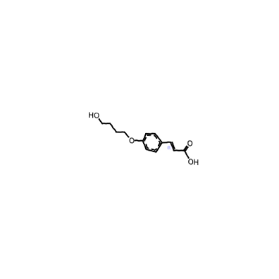 O=C(O)/C=C/c1ccc(OCCCCO)cc1